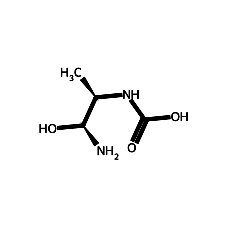 C[C@@H](NC(=O)O)[C@@H](N)O